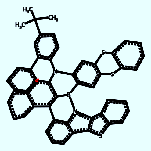 CC(C)(C)c1ccc(N2c3cc4c(cc3B3c5c2cc2ccccc2c5-c2cccc5c6sc7ccccc7c6n3c25)Sc2ccccc2S4)c(-c2ccccc2)c1